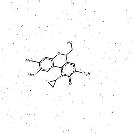 COc1cc2c(cc1OC)-c1c(cc(C(=O)O)c(=O)n1C1CC1)C(CO)O2